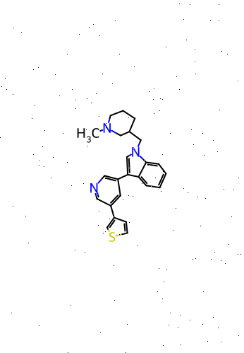 CN1CCCC(Cn2cc(-c3cncc(-c4ccsc4)c3)c3ccccc32)C1